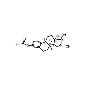 CC(C)(C)C(=O)Oc1ccc2c(c1)CC[C@@H]1[C@@H]2CC[C@]2(C)[C@@H](O)[C@H](O)C[C@@H]12